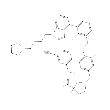 CC1(C(=O)O)CCN(Cc2cc(Cl)c(OCc3cccc(-c4cccc5c4cnn5CCCCN4CCCC4)c3Br)cc2OCc2cncc(C#N)c2)C1